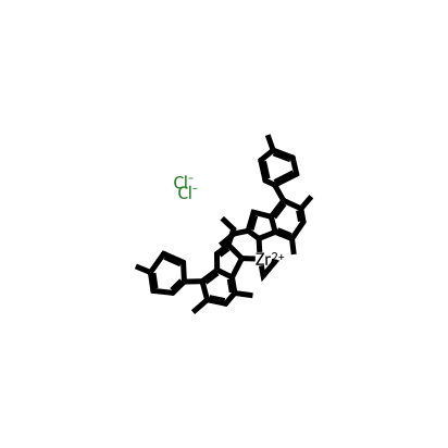 CCC1=Cc2c(-c3ccc(C)cc3)c(C)cc(C)c2[CH]1[Zr+2]1([CH]2C(CC)=Cc3c(-c4ccc(C)cc4)c(C)cc(C)c32)[CH2][CH2]1.[Cl-].[Cl-]